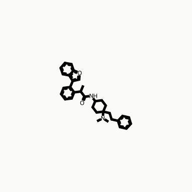 CC(C(=O)NC1CCC(CCc2ccccc2)(N(C)C)CC1)c1ccccc1-c1coc2ccccc12